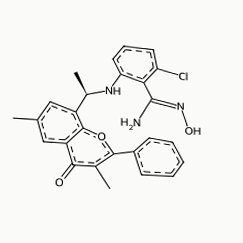 Cc1cc([C@@H](C)Nc2cccc(Cl)c2/C(N)=N/O)c2oc(-c3ccccc3)c(C)c(=O)c2c1